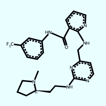 CN1CCC[C@@H]1CCNc1nccc(CNc2ncccc2C(=O)Nc2cccc(C(F)(F)F)c2)n1